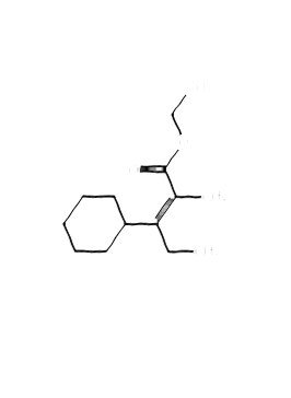 CCOC(=O)C(C)=C(CC)C1CCCCC1